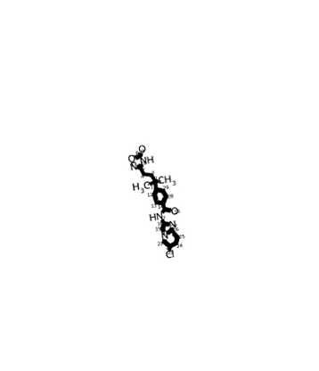 CC(C)(CCc1noc(=O)[nH]1)c1ccc(C(=O)Nc2cn3cc(Cl)ccc3n2)cc1